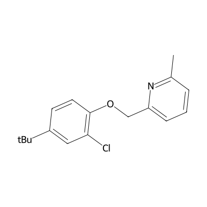 Cc1cccc(COc2ccc(C(C)(C)C)cc2Cl)n1